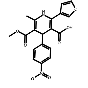 COC(=O)C1=C(C)NC(c2ccoc2)=C(C(=O)O)C1c1ccc([N+](=O)[O-])cc1